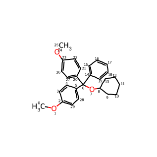 COc1ccc(C(OC2CCCCC2)(c2ccccc2)c2ccc(OC)cc2)cc1